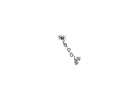 C[Si](C)(C)N(CCOCCOCCOCCN([Si](C)(C)C)[Si](C)(C)C)[Si](C)(C)C